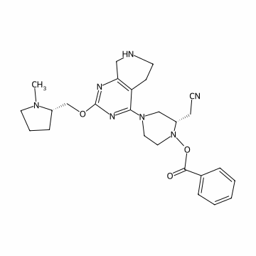 CN1CCC[C@H]1COc1nc2c(c(N3CCN(OC(=O)c4ccccc4)[C@@H](CC#N)C3)n1)CCNC2